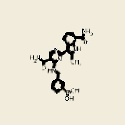 Cc1[nH]c2c(C(N)=O)cccc2c1-c1ncc(C(N)=O)c(NCc2cccc(B(O)O)c2)n1